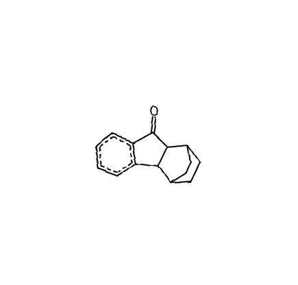 O=C1c2ccccc2C2C3CCC(CC3)C12